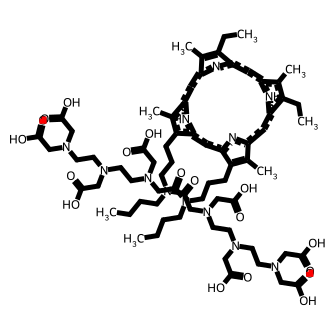 CCCCN(CCCC1=C(C)c2cc3[nH]c(cc4nc(cc5[nH]c(cc1n2)c(CCCN(CCCC)C(=O)CN(CCN(CCN(CC(=O)O)CC(=O)O)CC(=O)O)CC(=O)O)c5C)C(C)=C4CC)c(C)c3CC)C(=O)CN(CCN(CCN(CC(=O)O)CC(=O)O)CC(=O)O)CC(=O)O